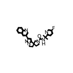 CC(C)(NC(=O)N1CCC2(CCn3nc(-c4cnc5ccccc5c4)cc32)C1)c1ccc(F)cn1